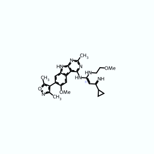 COCCN/C(=C\C(=N)C1CC1)Nc1nc(C)nc2[nH]c3cc(-c4c(C)noc4C)c(OC)cc3c12